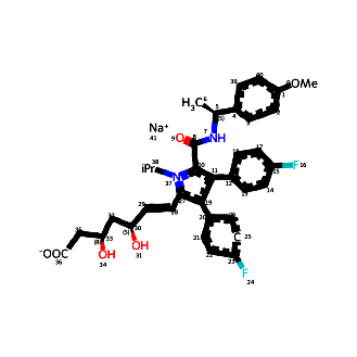 COc1ccc([C@H](C)NC(=O)c2c(-c3ccc(F)cc3)c(-c3ccc(F)cc3)c(C=C[C@@H](O)C[C@@H](O)CC(=O)[O-])n2C(C)C)cc1.[Na+]